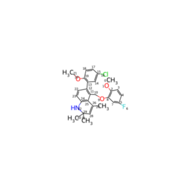 COc1ccc(F)cc1OCc1c(-c2cc(Cl)ccc2OC)ccc2c1C(C)=CC(C)(C)N2